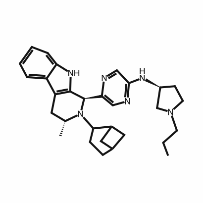 CCCN1CC[C@H](Nc2cnc([C@@H]3c4[nH]c5ccccc5c4C[C@@H](C)N3C3CCC4CC3C4)cn2)C1